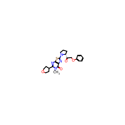 Cn1c(C2CCOCC2)nc2sc(N3CCC[C@@H]3C(=O)COc3ccccc3)nc2c1=O